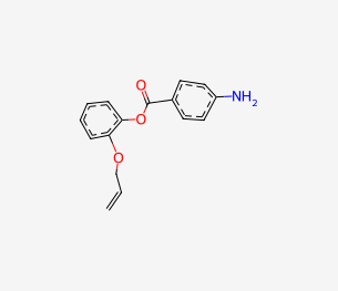 C=CCOc1ccccc1OC(=O)c1ccc(N)cc1